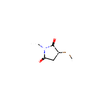 CCCCN1C(=O)CC(SCCC)C1=O